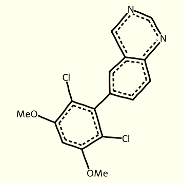 COc1cc(OC)c(Cl)c(-c2ccc3ncncc3c2)c1Cl